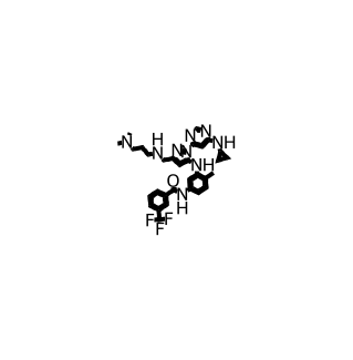 Cc1ccc(NC(=O)c2cccc(C(F)(F)F)c2)cc1Nc1cc(CNCCCN(C)C)nn1-c1cc(NC2CC2)ncn1